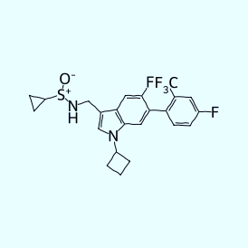 [O-][S+](NCc1cn(C2CCC2)c2cc(-c3ccc(F)cc3C(F)(F)F)c(F)cc12)C1CC1